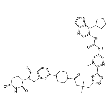 Cc1cc(NC(=O)Nc2cnc3ccnn3c2C2CCCC2)cnc1-c1noc(CC(C)(C)CC(=O)N2CCN(c3ccc4c(c3)CN(C3CCC(=O)NC3=O)C4=O)CC2)n1